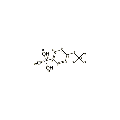 CC(C)(C)Cc1ccc(P(=O)(O)O)cc1